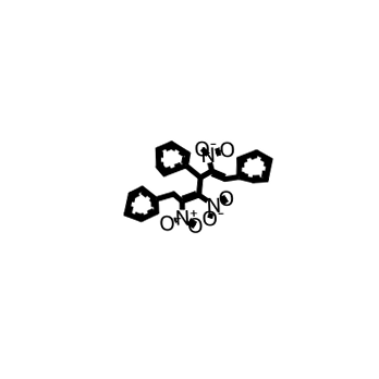 O=[N+]([O-])C(=Cc1ccccc1)C(C(=C(Cc1ccccc1)[N+](=O)[O-])[N+](=O)[O-])c1ccccc1